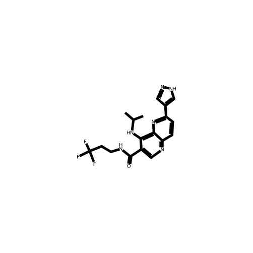 CC(C)Nc1c(C(=O)NCCC(F)(F)F)cnc2ccc(-c3cn[nH]c3)nc12